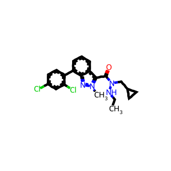 CCNN(CC1CC1)C(=O)c1c2cccc(-c3ccc(Cl)cc3Cl)c2nn1C